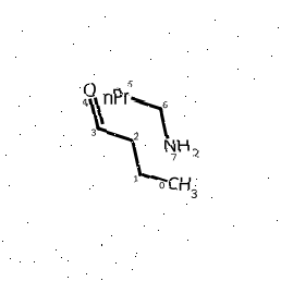 CCCC=O.CCCCN